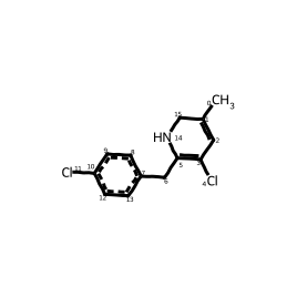 CC1=CC(Cl)=C(Cc2ccc(Cl)cc2)NC1